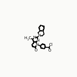 Cc1nc(N2CCc3ccccc3C2)nc2c1ccc(=O)n2-c1ccc(C(=O)Cl)cc1